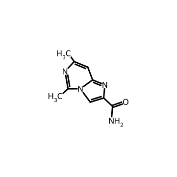 Cc1cc2nc(C(N)=O)cn2c(C)n1